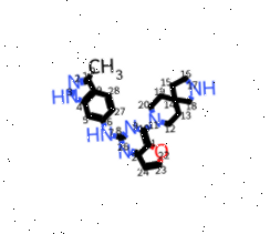 Cc1n[nH]c2cc(Nc3nc(N4CCC5(CCNC5)CC4)c4occc4n3)ccc12